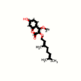 CC(C)=CCC/C(C)=C/COc1c(OC(C)C)c2ccc(O)cc2oc1=O